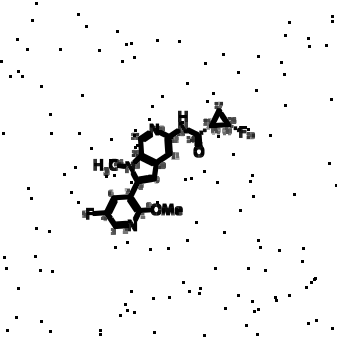 COc1ncc(F)cc1-c1cc2cc(NC(=O)[C@@H]3C[C@@H]3F)ncc2n1C